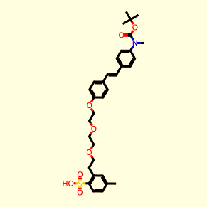 Cc1ccc(S(=O)(=O)O)c(CCOCCOCCOc2ccc(C=Cc3ccc(N(C)C(=O)OC(C)(C)C)cc3)cc2)c1